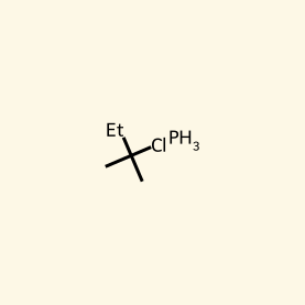 CCC(C)(C)Cl.P